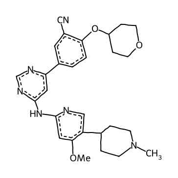 COc1cc(Nc2cc(-c3ccc(OC4CCOCC4)c(C#N)c3)ncn2)ncc1C1CCN(C)CC1